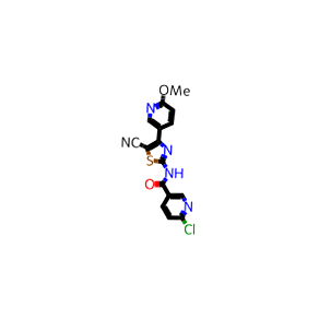 COc1ccc(-c2nc(NC(=O)c3ccc(Cl)nc3)sc2C#N)cn1